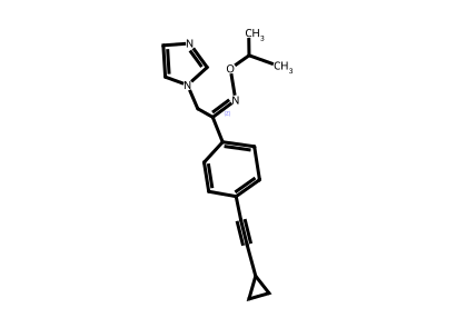 CC(C)O/N=C(\Cn1ccnc1)c1ccc(C#CC2CC2)cc1